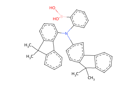 CC1(C)c2ccccc2-c2cc(N(c3ccccc3B(O)O)c3cccc4c3-c3ccccc3C4(C)C)ccc21